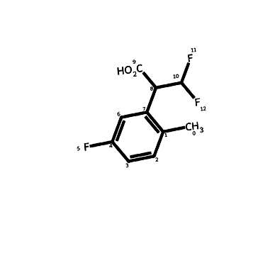 Cc1ccc(F)cc1C(C(=O)O)C(F)F